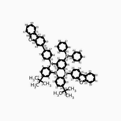 CC(C)(C)c1ccc2c(c1)B1c3ccc(C(C)(C)C)cc3N(c3ccc4c(c3)oc3ccccc34)c3cc(N(c4ccccc4)c4ccccc4)cc(c31)N2c1ccc(-c2ccc3c(c2)oc2ccccc23)cc1